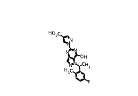 Cc1ccc(F)cc1[C@H](C)n1ncc2nc(-n3cc(C(=O)O)cn3)nc(O)c21